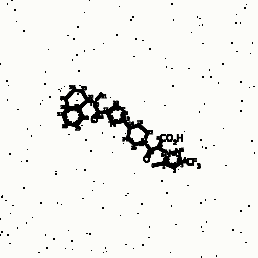 Cc1cc(C(F)(F)F)nn1C(C(=O)O)C(=O)N1CCC(c2nc(C(=O)N(C)C3CCCc4ccccc43)cs2)CC1